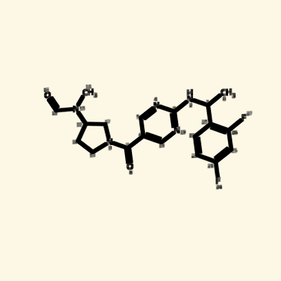 CC(Nc1ncc(C(=O)N2CCC(N(C)C=O)C2)cn1)c1ccc(F)cc1F